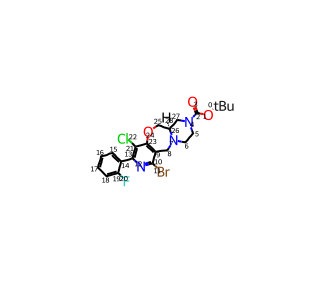 CC(C)(C)OC(=O)N1CCN2Cc3c(Br)nc(-c4ccccc4F)c(Cl)c3OC[C@H]2C1